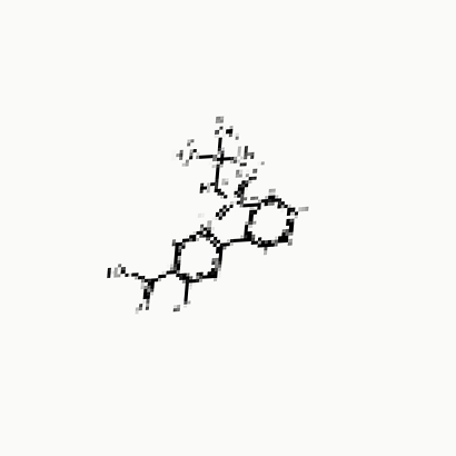 CC(=O)c1ccc(-c2ccccc2S(=O)(=O)NC(C)(C)C)cc1F